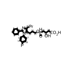 CC(C)c1nc(-c2ccccc2)n(-c2ccc(F)cc2)c1CCCO[PH](=O)C[C@@H](O)CC(=O)O